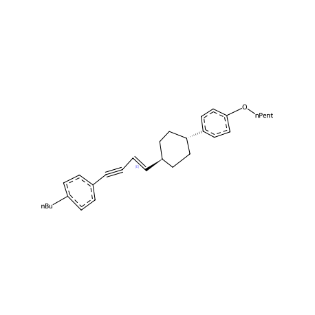 CCCCCOc1ccc([C@H]2CC[C@H](/C=C/C#Cc3ccc(CCCC)cc3)CC2)cc1